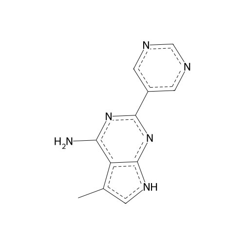 Cc1c[nH]c2nc(-c3cncnc3)nc(N)c12